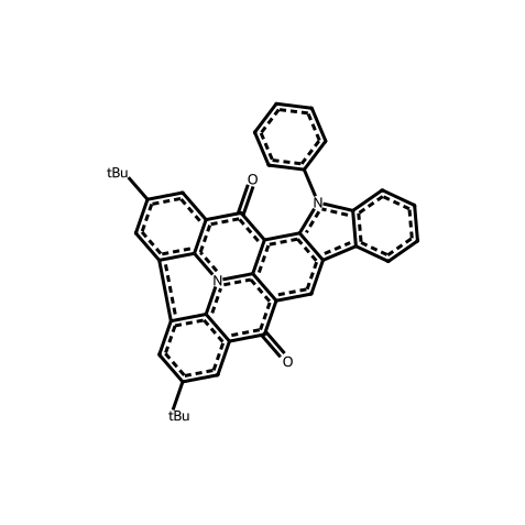 CC(C)(C)c1cc2c(=O)c3cc4c5ccccc5n(-c5ccccc5)c4c4c(=O)c5cc(C(C)(C)C)cc6c(c1)c2n(c56)c34